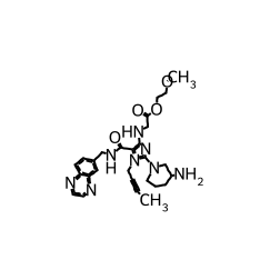 CC#CCn1c(N2CCCC(N)C2)nc(NCC(=O)OCCOC)c1C(=O)NCc1ccc2nccnc2c1